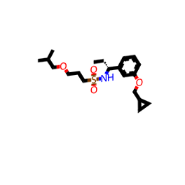 CC[C@@H](NS(=O)(=O)CCCOCC(C)C)c1cccc(OCC2CC2)c1